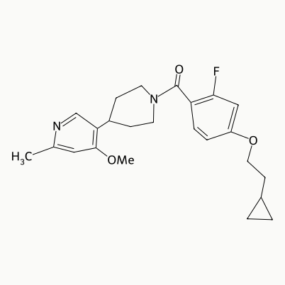 COc1cc(C)ncc1C1CCN(C(=O)c2ccc(OCCC3CC3)cc2F)CC1